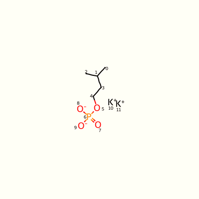 CC(C)CCOP(=O)([O-])[O-].[K+].[K+]